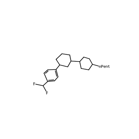 CCCCCC1CCC(C2CCCC(c3ccc(C(F)F)cc3)C2)CC1